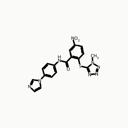 Cn1nnnc1Sc1ccc([N+](=O)[O-])cc1C(=O)Nc1ccc(-n2ccnc2)cc1